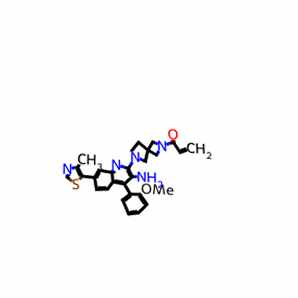 C=CC(=O)N1CC2(CCN(c3nc4cc(-c5scnc5C)ccc4c(-c4ccccc4OC)c3N)C2)C1